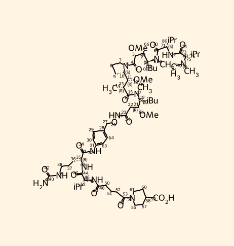 CC[C@H](C)[C@@H]([C@@H](CC(=O)N1CCC[C@H]1[C@H](OC)[C@@H](C)C(=O)N(C)[C@@H]([C@@H](C)CC)[C@@H](CC(=O)NOCc1ccc(NC(=O)[C@@H](CCCNC(N)=O)NC(=O)[C@H](NC(=O)CCCC(=O)N2CCC(C(=O)O)CC2)C(C)C)cc1)OC)OC)N(C)C(=O)[C@@H](NC(=O)[C@H](C(C)C)N(C)C)C(C)C